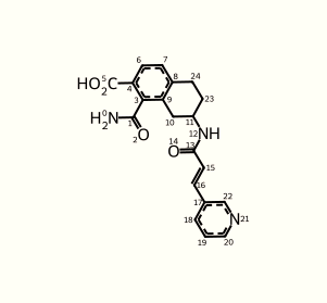 NC(=O)c1c(C(=O)O)ccc2c1CC(NC(=O)/C=C/c1cccnc1)CC2